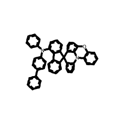 c1ccc(-c2ccc(N(c3ccccc3)c3cccc4c3-c3ccccc3C43c4ccccc4N4c5ccccc5Oc5cccc3c54)cc2)cc1